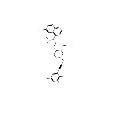 COc1ccc2nccc([C@@H](CC[C@@H]3CCN(CC#Cc4cc(F)cc(F)c4F)C[C@@H]3CC(=O)O)N(C)C)c2c1